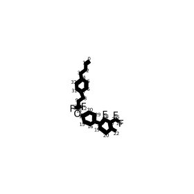 C=CCCc1ccc(CCC(F)(F)Oc2ccc(-c3ccc(C)c(C(F)F)c3F)cc2)cc1